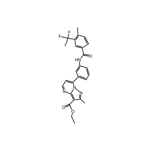 CCOC(=O)c1c(C)nn2c(-c3cccc(NC(=O)c4ccc(C)c(C(F)(F)F)c4)c3)ccnc12